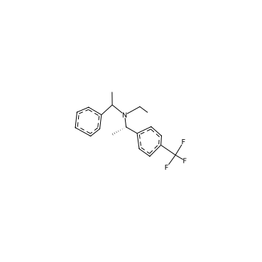 CCN(C(C)c1ccccc1)[C@@H](C)c1ccc(C(F)(F)F)cc1